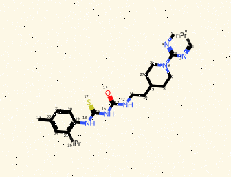 CCC/C=N\C(=N/C)N1CCC(CCNC(=O)NC(=S)Nc2ccc(C)cc2C(C)C)CC1